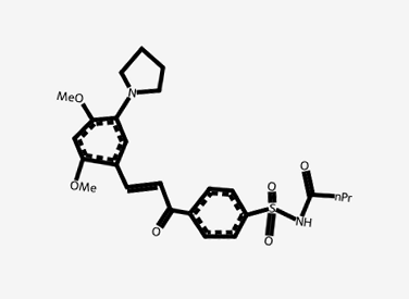 CCCC(=O)NS(=O)(=O)c1ccc(C(=O)/C=C/c2cc(N3CCCC3)c(OC)cc2OC)cc1